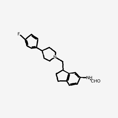 O=CNc1ccc2c(c1)C(CN1CCC(c3ccc(F)cc3)CC1)CC2